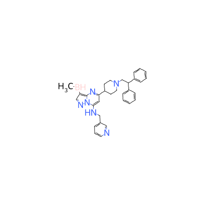 CBc1cnn2c(NCc3cccnc3)cc(C3CCN(CC(c4ccccc4)c4ccccc4)CC3)nc12